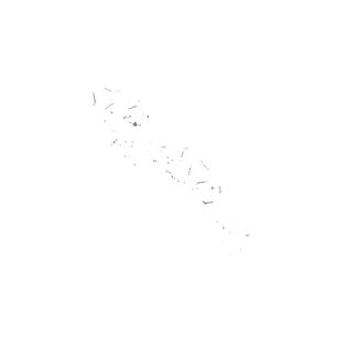 O=C(CCN1CCOCC1)Nc1ccc2c(=O)n(CC3(O)CCN(C(=O)C(Cc4ccccc4)n4ccnn4)CC3)cnc2c1